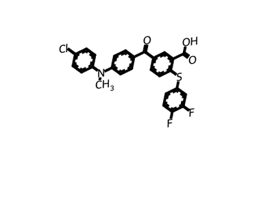 CN(c1ccc(Cl)cc1)c1ccc(C(=O)c2ccc(Sc3ccc(F)c(F)c3)c(C(=O)O)c2)cc1